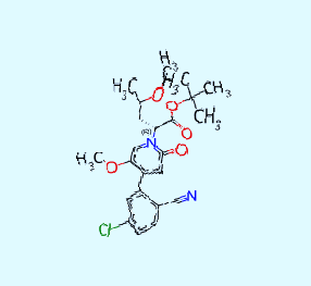 COc1cn([C@H](CC(C)OC)C(=O)OC(C)(C)C)c(=O)cc1-c1cc(Cl)ccc1C#N